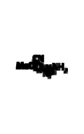 COC1(CC#N)CCN(c2nccc(N)n2)CC1